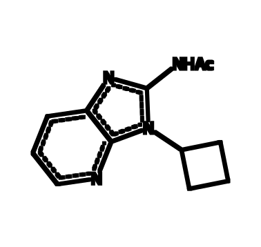 CC(=O)Nc1nc2cccnc2n1C1CCC1